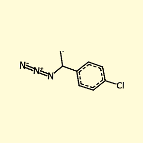 [CH2]C(N=[N+]=[N-])c1ccc(Cl)cc1